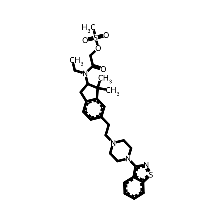 CCN(C(=O)COS(C)(=O)=O)C1Cc2ccc(CCN3CCN(c4nsc5ccccc45)CC3)cc2C1(C)C